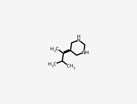 CC(=C1CNCNC1)C(C)C